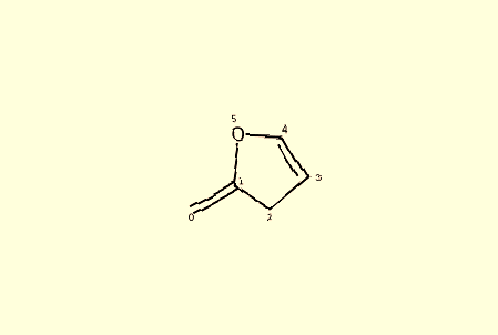 C=C1CC=CO1